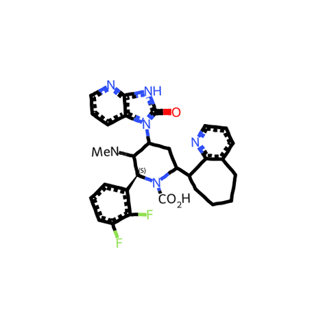 CNC1C(n2c(=O)[nH]c3ncccc32)CC(C2CCCCc3cccnc32)N(C(=O)O)[C@H]1c1cccc(F)c1F